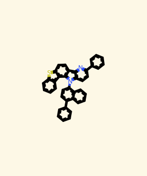 c1ccc(-c2ccc3c(n2)c2ccc4sc5ccccc5c4c2n3-c2ccc(-c3ccccc3)c3ccccc23)cc1